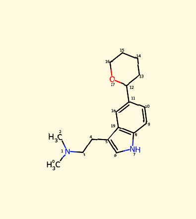 CN(C)CCc1c[nH]c2ccc(C3CCCCO3)cc12